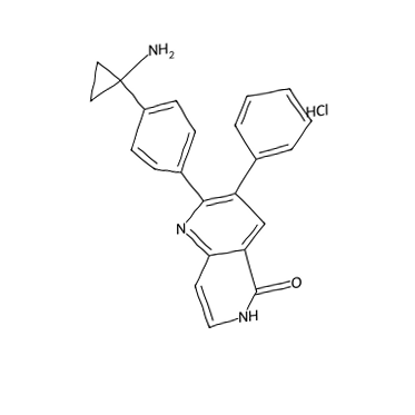 Cl.NC1(c2ccc(-c3nc4cc[nH]c(=O)c4cc3-c3ccccc3)cc2)CC1